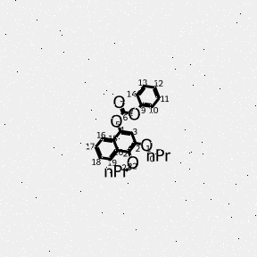 CCCOc1cc(OC(=O)Oc2ccccc2)c2ccccc2c1OCCC